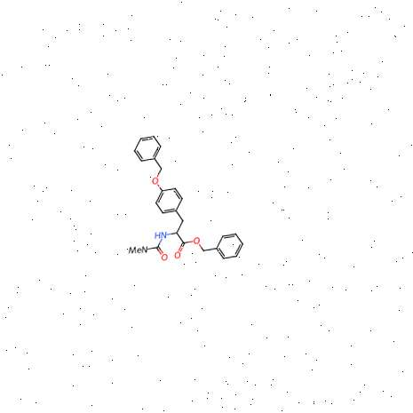 CNC(=O)NC(Cc1ccc(OCc2ccccc2)cc1)C(=O)OCc1ccccc1